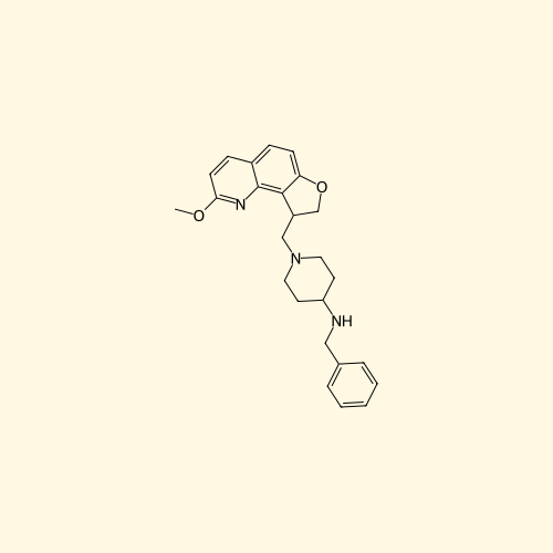 COc1ccc2ccc3c(c2n1)C(CN1CCC(NCc2ccccc2)CC1)CO3